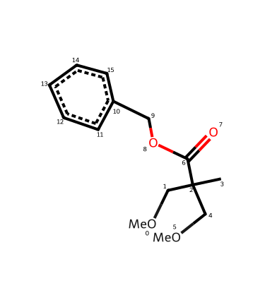 COCC(C)(COC)C(=O)OCc1ccccc1